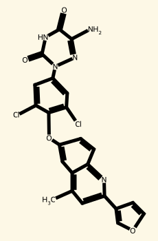 Cc1cc(-c2ccoc2)nc2ccc(Oc3c(Cl)cc(-n4nc(N)c(=O)[nH]c4=O)cc3Cl)cc12